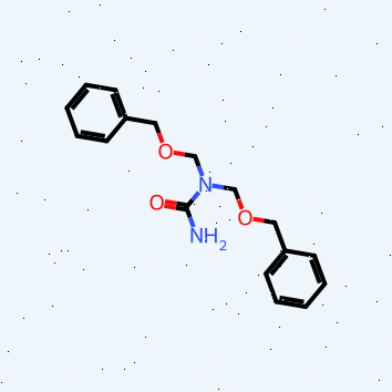 NC(=O)N(COCc1ccccc1)COCc1ccccc1